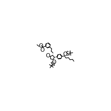 CCCCCC(O[Si](C)(C)C(C)(C)C)c1ccc([C@H]2[C@H](O[Si](C)(C)C(C)(C)C)CC(=O)[C@@H]2CCCc2cccc(C(=O)OCC)c2)cc1